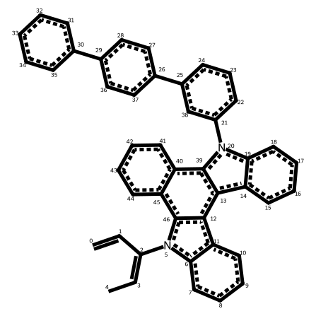 C=C/C(=C\C)n1c2ccccc2c2c3c4ccccc4n(-c4cccc(-c5ccc(-c6ccccc6)cc5)c4)c3c3ccccc3c21